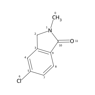 CN1Cc2cc(Cl)ccc2C1=O